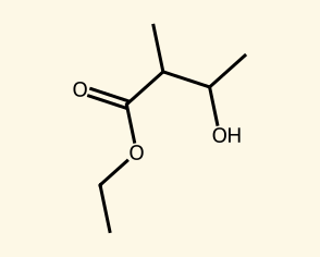 CCOC(=O)C(C)C(C)O